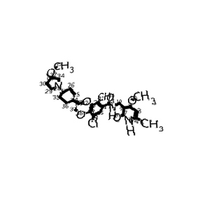 COc1cc(C)[nH]c(=O)c1CNC(=O)c1cc(Cl)c2c(c1C)O[C@@H]([C@H]1CC[C@@H](N3CC[C@H](OC)C3)CC1)CO2